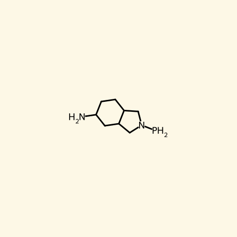 NC1CCC2CN(P)CC2C1